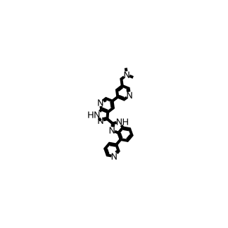 CN(C)Cc1cncc(-c2cnc3[nH]nc(-c4nc5c(-c6cccnc6)cccc5[nH]4)c3c2)c1